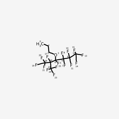 CCCOC(F)(C(F)(F)C(F)(F)C(F)(F)F)C(F)(C(F)(F)F)C(F)(F)F